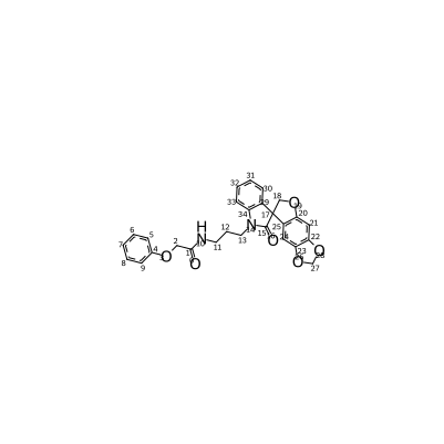 O=C(COc1ccccc1)NCCCN1C(=O)C2(COc3cc4c(cc32)OCO4)c2ccccc21